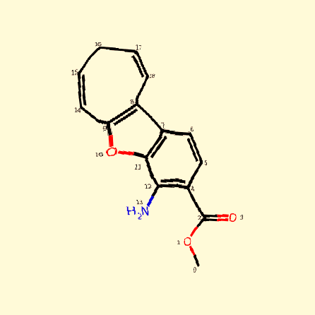 COC(=O)c1ccc2c3c(oc2c1N)C=CCC=C3